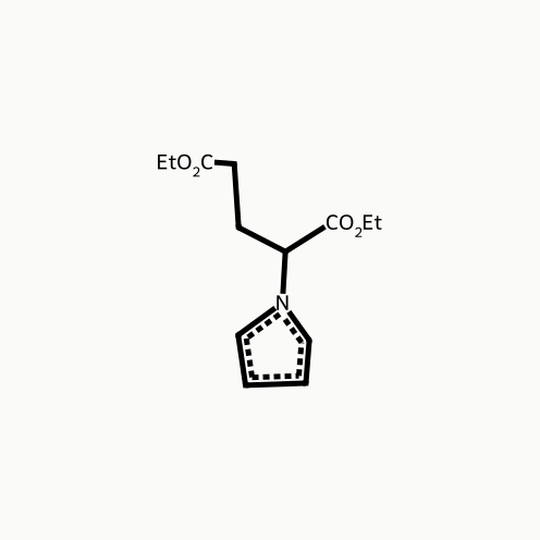 CCOC(=O)CCC(C(=O)OCC)n1cccc1